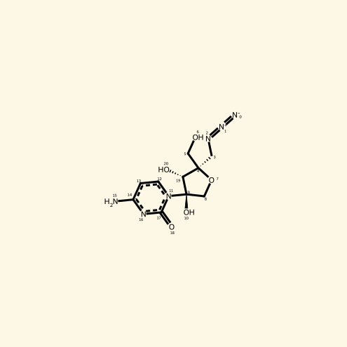 [N-]=[N+]=NC[C@]1(CO)OC[C@](O)(n2ccc(N)nc2=O)[C@@H]1O